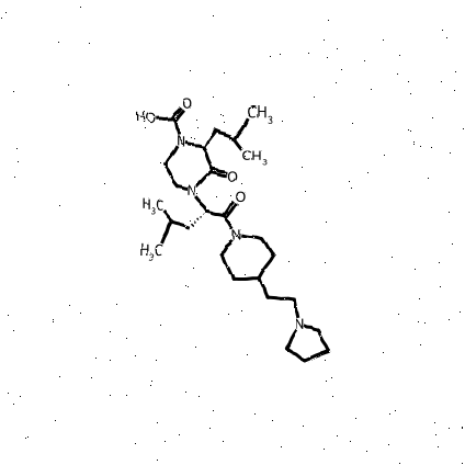 CC(C)C[C@H]1C(=O)N([C@@H](CC(C)C)C(=O)N2CCC(CCN3CCCC3)CC2)CCN1C(=O)O